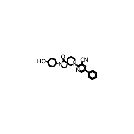 N#Cc1cc(-c2ccccc2)cnc1N1CCCC2(CCN([C@H]3CC[C@H](O)CC3)C2=O)C1